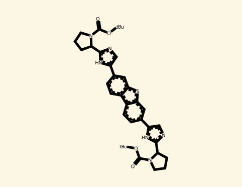 CC(C)(C)OC(=O)N1CCCC1c1ncc(-c2ccc3c(c2)sc2cc(-c4cnc(C5CCCN5C(=O)OC(C)(C)C)[nH]4)ccc23)[nH]1